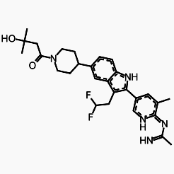 CC(=N)/N=c1\[nH]cc(-c2[nH]c3ccc(C4CCN(C(=O)CC(C)(C)O)CC4)cc3c2CC(F)F)cc1C